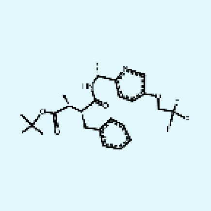 C[C@H](C(=O)OC(C)(C)C)[C@H](Cc1ccccc1)C(=O)N[C@H](C)c1ccc(OCC(F)(F)F)cn1